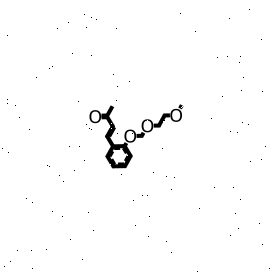 COCCOCOc1ccccc1C=CC(C)=O